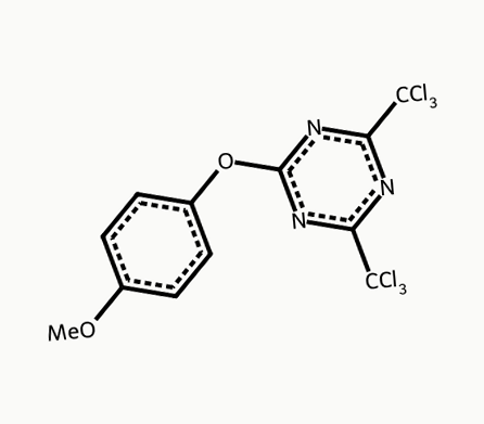 COc1ccc(Oc2nc(C(Cl)(Cl)Cl)nc(C(Cl)(Cl)Cl)n2)cc1